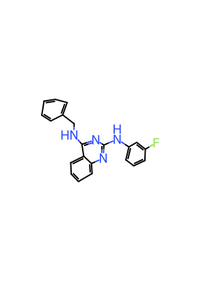 Fc1cccc(Nc2nc(NCc3ccccc3)c3ccccc3n2)c1